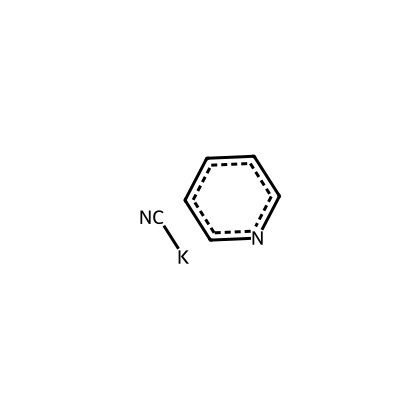 N#[C][K].c1ccncc1